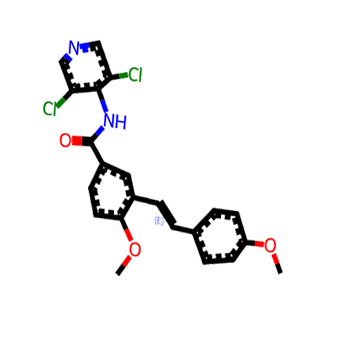 COc1ccc(/C=C/c2cc(C(=O)Nc3c(Cl)cncc3Cl)ccc2OC)cc1